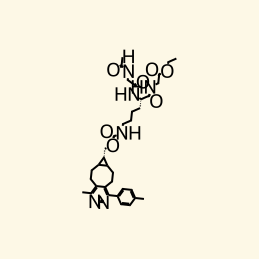 CCOC(=O)CNC(=O)[C@H](CCCCNC(=O)OC[C@H]1C2CCc3c(C)nnc(-c4ccc(C)cc4)c3CCC21)NC(=O)CNC(C)=O